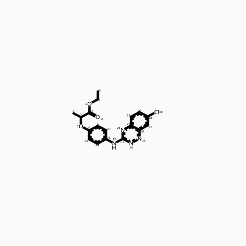 CCOC(=O)C(C)Oc1ccc(Nc2nnc3cc(Cl)ccc3n2)cc1